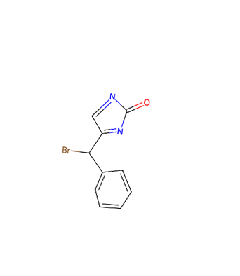 O=C1N=CC(C(Br)c2ccccc2)=N1